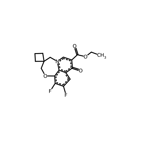 CCOC(=O)c1cn2c3c(c(F)c(F)cc3c1=O)OCC1(CCC1)C2